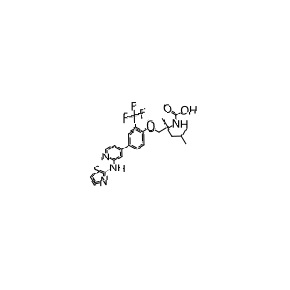 CC(C)CC(C)(COc1ccc(-c2ccnc(Nc3nccs3)c2)cc1C(F)(F)F)NC(=O)O